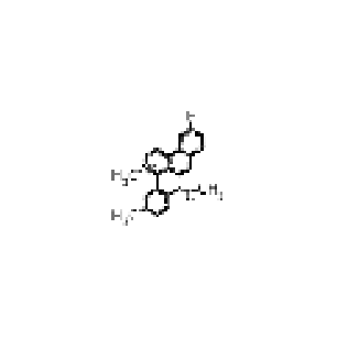 COCc1ccc(C)cc1-c1c2ccc3ccc(F)cc3c2cc[n+]1C